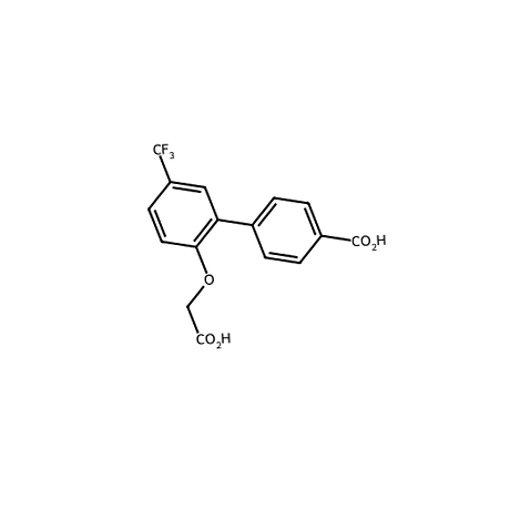 O=C(O)COc1ccc(C(F)(F)F)cc1-c1ccc(C(=O)O)cc1